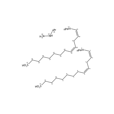 CCCCC/C=C\C/C=C\CCCCCCCC(=O)O.CCCCC/C=C\C/C=C\CCCCCCCC(=O)O.CCCNN